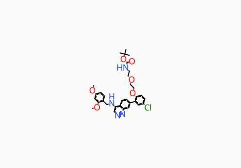 COc1ccc(CNc2cnnc3cc(-c4cc(Cl)ccc4OCCOCCNC(=O)OC(C)(C)C)ccc23)c(OC)c1